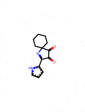 O=C1C(=O)C2(CCCCC2)N=C1c1ccc[nH]1